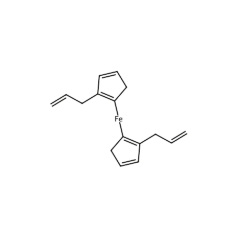 C=CCC1=[C]([Fe][C]2=C(CC=C)C=CC2)CC=C1